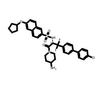 NC1CCN(C(=O)[C@H](NS(=O)(=O)c2ccc3cc(OC4CCCC4)ccc3c2)C(F)(F)c2ccc(-c3ccc(Cl)cc3)cc2)CC1